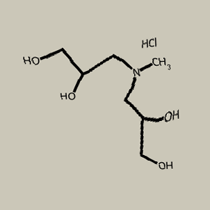 CN(CC(O)CO)CC(O)CO.Cl